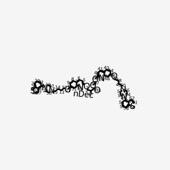 CCCCCCCCCCC(COc1ccc2ccc(OCCCCN3CCN(c4cccc5sccc45)CC3)cc2n1)C(=O)OCOc1ccc2ccc(OCCCCN3CCN(c4cccc5sccc45)CC3)cc2n1